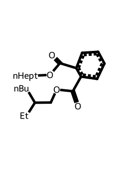 CCCCCCCOC(=O)c1ccccc1C(=O)OCC(CC)CCCC